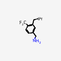 CC(C)Cc1cc(CN)ccc1C(F)(F)F